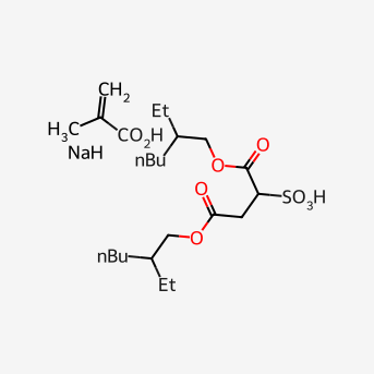 C=C(C)C(=O)O.CCCCC(CC)COC(=O)CC(C(=O)OCC(CC)CCCC)S(=O)(=O)O.[NaH]